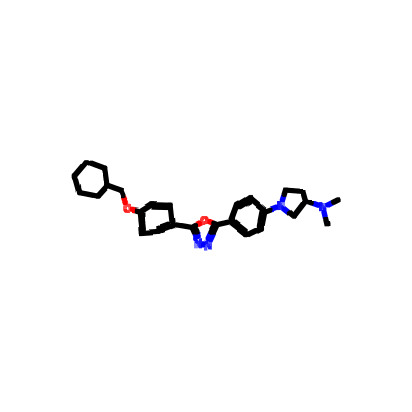 CN(C)C1CCN(c2ccc(-c3nnc(-c4ccc(OCC5CCCCC5)cc4)o3)cc2)C1